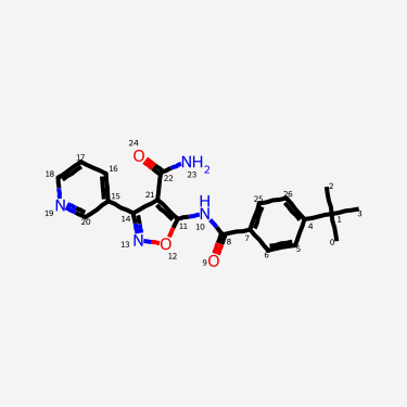 CC(C)(C)c1ccc(C(=O)Nc2onc(-c3cccnc3)c2C(N)=O)cc1